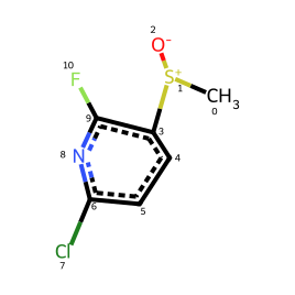 C[S+]([O-])c1ccc(Cl)nc1F